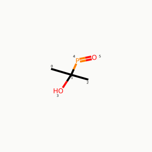 CC(C)(O)P=O